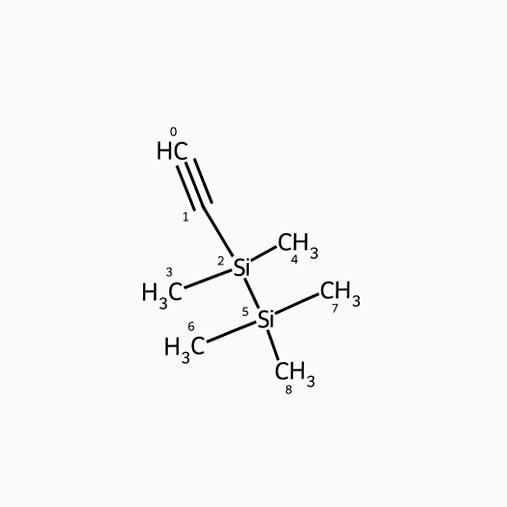 C#C[Si](C)(C)[Si](C)(C)C